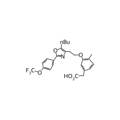 CCCCc1oc(-c2ccc(OC(F)(F)F)cc2)nc1CCOc1cc(CC(=O)O)ccc1C